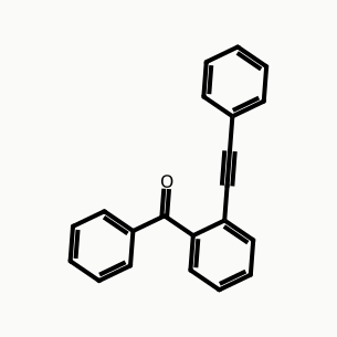 O=C(c1ccccc1)c1ccccc1C#Cc1ccccc1